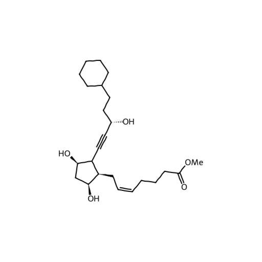 COC(=O)CCC/C=C\C[C@@H]1C(C#C[C@@H](O)CCC2CCCCC2)[C@H](O)C[C@@H]1O